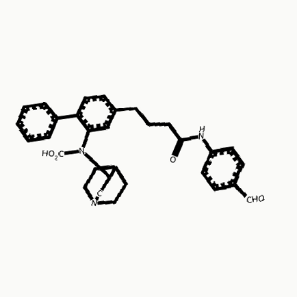 O=Cc1ccc(NC(=O)CCCc2ccc(-c3ccccc3)c(N(C(=O)O)C3CN4CCC3CC4)c2)cc1